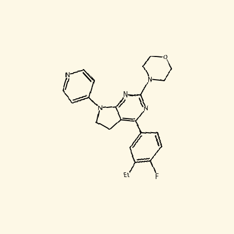 CCc1cc(-c2nc(N3CCOCC3)nc3c2CCN3c2ccncc2)ccc1F